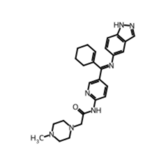 CN1CCN(CC(=O)Nc2ccc(/C(=N/c3ccc4[nH]ncc4c3)C3=CCCCC3)cn2)CC1